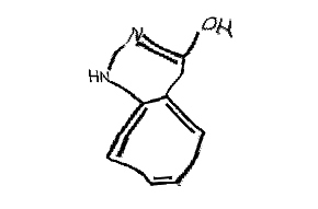 Oc1n[nH]c2cc[c]cc12